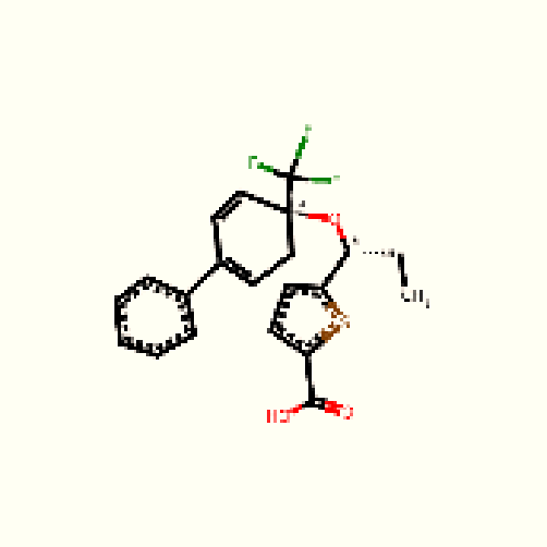 CC[C@@H](O[C@]1(C(F)(F)F)C=CC(c2ccccc2)=CC1)c1ccc(C(=O)O)s1